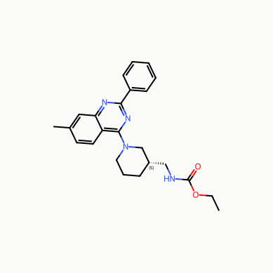 CCOC(=O)NC[C@@H]1CCCN(c2nc(-c3ccccc3)nc3cc(C)ccc23)C1